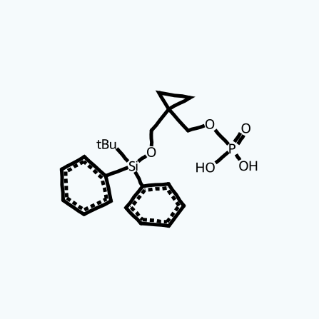 CC(C)(C)[Si](OCC1(COP(=O)(O)O)CC1)(c1ccccc1)c1ccccc1